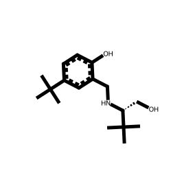 CC(C)(C)c1ccc(O)c(CN[C@H](CO)C(C)(C)C)c1